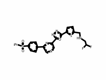 CC(C)S(=O)(=O)c1ccc(-c2cncc(-c3nnc(-c4ccc(CNCC(F)F)s4)o3)n2)cc1